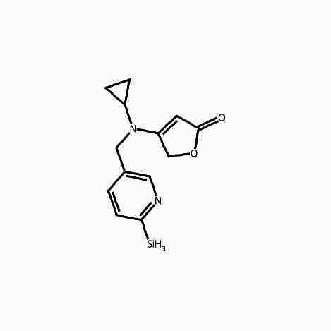 O=C1C=C(N(Cc2ccc([SiH3])nc2)C2CC2)CO1